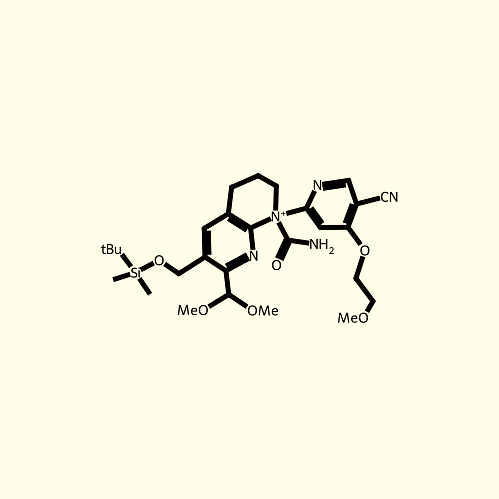 COCCOc1cc([N+]2(C(N)=O)CCCc3cc(CO[Si](C)(C)C(C)(C)C)c(C(OC)OC)nc32)ncc1C#N